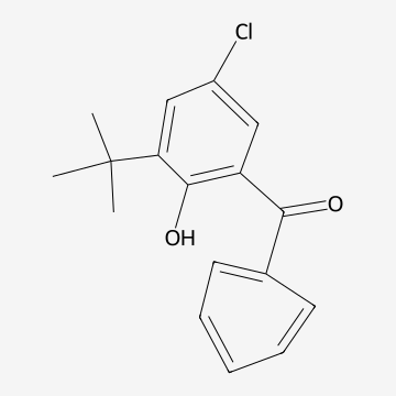 CC(C)(C)c1cc(Cl)cc(C(=O)c2ccccc2)c1O